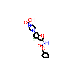 O=C(N[C@H]1COc2cc(N3CCN(C(=O)O)CC3)cc(F)c2C1)OCc1ccccc1